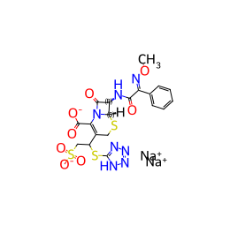 CON=C(C(=O)N[C@@H]1C(=O)N2C(C(=O)[O-])=C(C(CS(=O)(=O)[O-])Sc3nnn[nH]3)CS[C@@H]12)c1ccccc1.[Na+].[Na+]